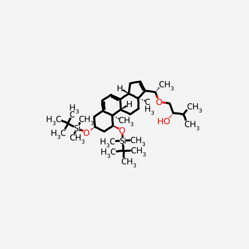 CC(C)[C@H](O)CO[C@@H](C)C1=CC[C@H]2C3=CC=C4C[C@@H](O[Si](C)(C)C(C)(C)C)C[C@H](O[Si](C)(C)C(C)(C)C)[C@]4(C)[C@H]3CC[C@]12C